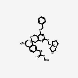 CC(C)(C)OC(=O)Nc1ccc2c(c1)[C@]1(CCC2)Cc2nc(OC[C@@]34CCCN3C[C@H](F)C4)nc(OCc3ccccc3)c2CO1.[H-].[Na+]